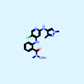 CON(C)C(=O)c1ccccc1Nc1cc(Nc2cn(C)nc2C)ncc1Cl